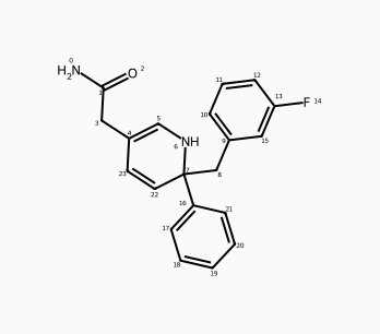 NC(=O)CC1=CNC(Cc2cccc(F)c2)(c2ccccc2)C=C1